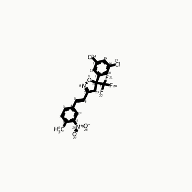 Cc1ccc(/C=C/C2=NOC(c3cc(Cl)cc(Cl)c3)(C(F)(F)F)C2)cc1[N+](=O)[O-]